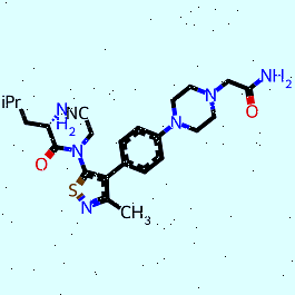 Cc1nsc(N(CC#N)C(=O)[C@@H](N)CC(C)C)c1-c1ccc(N2CCN(CC(N)=O)CC2)cc1